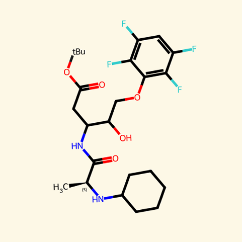 C[C@H](NC1CCCCC1)C(=O)NC(CC(=O)OC(C)(C)C)C(O)COc1c(F)c(F)cc(F)c1F